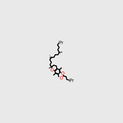 Cc1c(C)c2c(c(C)c1OC(=O)CCC(C)C)CC[C@@](C)(CCC[C@H](C)CCC[C@H](C)CCCC(C)C)O2